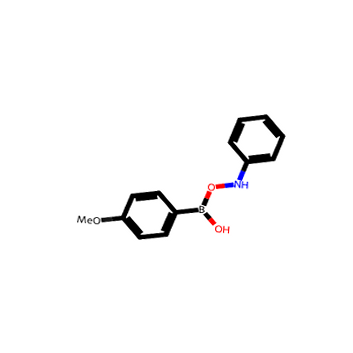 COc1ccc(B(O)ONc2ccccc2)cc1